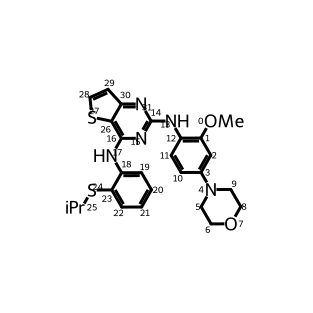 COc1cc(N2CCOCC2)ccc1Nc1nc(Nc2ccccc2SC(C)C)c2sccc2n1